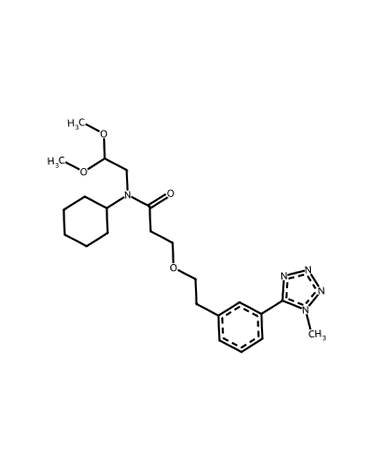 COC(CN(C(=O)CCOCCc1cccc(-c2nnnn2C)c1)C1CCCCC1)OC